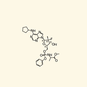 COC(=O)C(C)NP(=O)(OC[C@H]1O[C@@H](n2cnc3c(NC4CCCC4)ncnc32)[C@](C)(F)[C@@H]1O)Oc1ccccc1